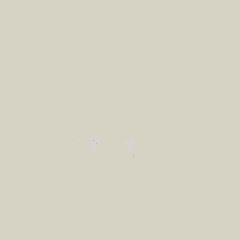 CC(C)n1cc(-c2ccc3c(c2)CCC3=O)c2ccc(NS(C)(=O)=O)cc21